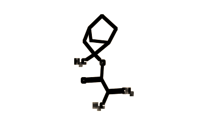 C=C(C)C(=O)OC1(C)CC2CCC1C2